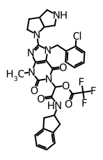 Cn1c(=O)n(C(OC(=O)C(F)(F)F)C(=O)NC2Cc3ccccc3C2)c(=O)c2c1nc(N1CCC3CNCC31)n2Cc1ccccc1Cl